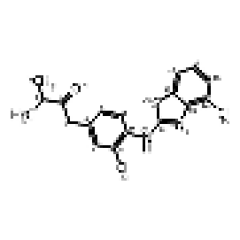 CC(C)C(=O)Cc1ccc(Nc2nc3c(Cl)cccc3s2)c(Cl)c1